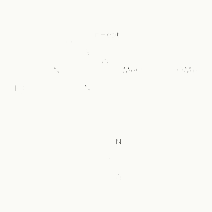 CCCCCCCS(=O)(=O)c1nc(-c2ccc(=O)n(Cc3ccc(OC)c(OC)c3)c2)cc(C(F)(F)F)n1